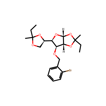 CCC1(C)O[C@H]2O[C@H]([C@H]3COC(C)(CC)O3)[C@H](OCc3ccccc3Br)[C@H]2O1